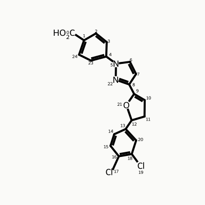 O=C(O)c1ccc(-n2ccc(C3=CCC(c4ccc(Cl)c(Cl)c4)O3)n2)cc1